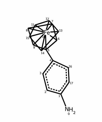 Nc1ccc([C]23[CH]4[CH]5[CH]6[CH]2[Fe]56432789[CH]3[CH]2[CH]7[CH]8[CH]39)cc1